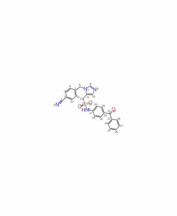 N#Cc1ccc(Cn2cncc2CS(=O)(=O)Nc2ccc(C(=O)c3ccccc3)cc2)cc1